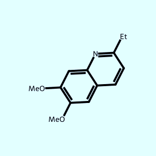 CCc1ccc2cc(OC)c(OC)cc2n1